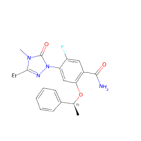 CCc1nn(-c2cc(O[C@@H](C)c3ccccc3)c(C(N)=O)cc2F)c(=O)n1C